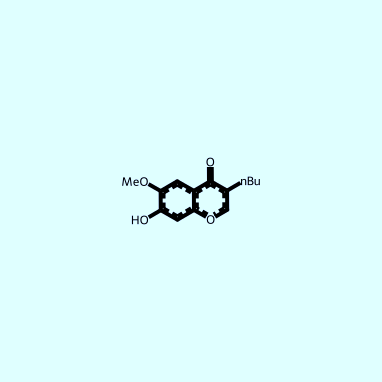 CCCCc1coc2cc(O)c(OC)cc2c1=O